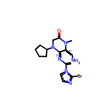 C=C(/N=C1\C(=C/N)N(C)C(=O)CN1C1CCCC1)n1ccnc1Br